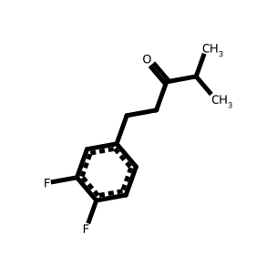 CC(C)C(=O)CCc1ccc(F)c(F)c1